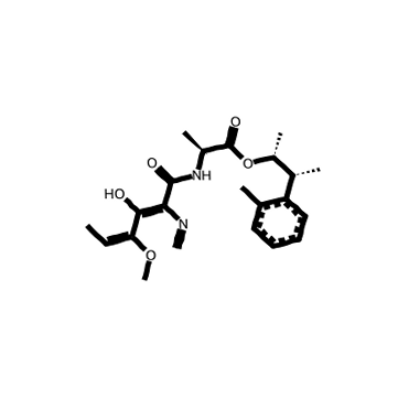 C=N/C(C(=O)N[C@@H](C)C(=O)O[C@H](C)[C@H](C)c1ccccc1C)=C(O)\C(=C/C)OC